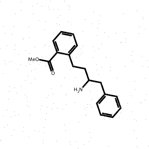 COC(=O)c1ccccc1CCC(N)Cc1ccccc1